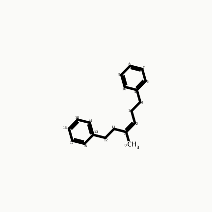 CC(=CCCc1ccccc1)CCc1ccccc1